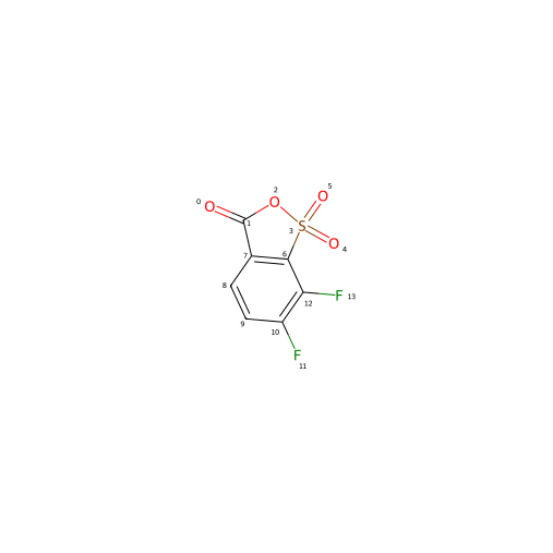 O=C1OS(=O)(=O)c2c1ccc(F)c2F